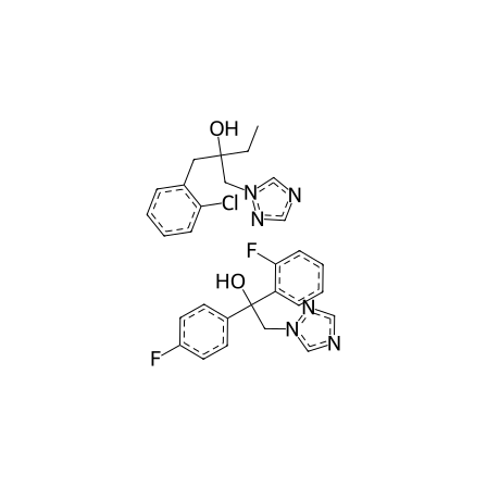 CCC(O)(Cc1ccccc1Cl)Cn1cncn1.OC(Cn1cncn1)(c1ccc(F)cc1)c1ccccc1F